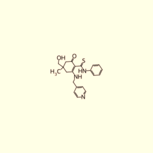 CC1(CO)CC(=O)C(C(=S)Nc2ccccc2)=C(NCc2ccncc2)C1